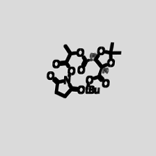 CC(OC(=O)[C@@H]1OC(C)(C)O[C@H]1C(=O)OC(C)(C)C)C(=O)ON1C(=O)CCC1=O